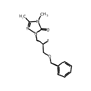 Cc1nn(CC(F)COCc2ccccc2)c(=O)n1C